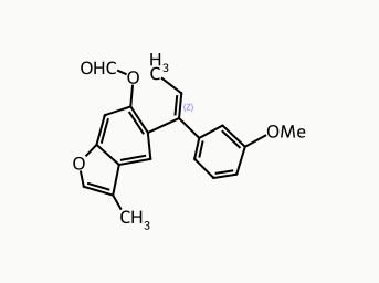 C/C=C(/c1cccc(OC)c1)c1cc2c(C)coc2cc1OC=O